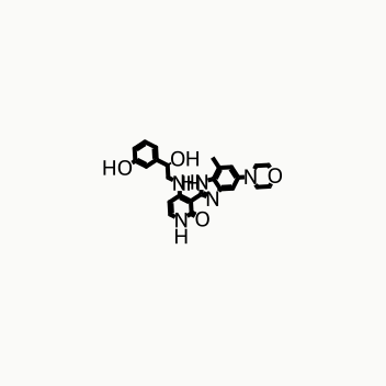 Cc1cc(N2CCOCC2)cc2nc(-c3c(NC[C@@H](O)c4cccc(O)c4)cc[nH]c3=O)[nH]c12